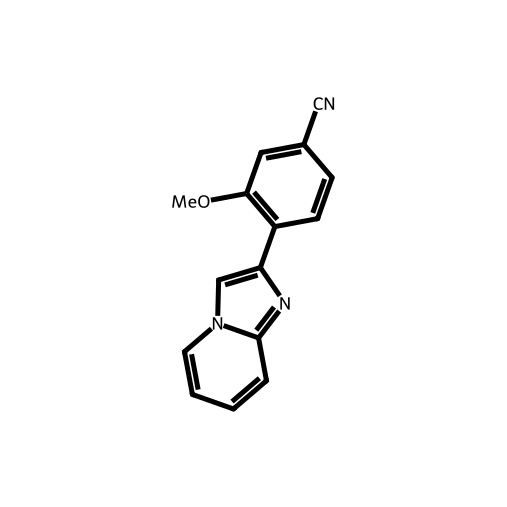 COc1cc(C#N)ccc1-c1cn2ccccc2n1